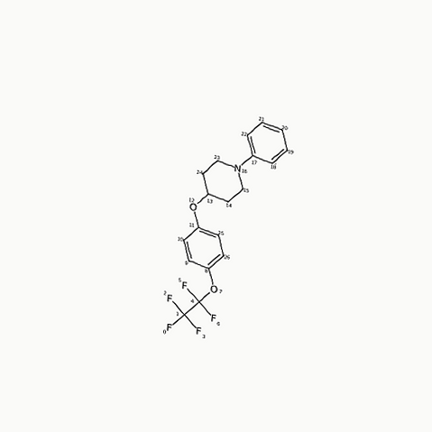 FC(F)(F)C(F)(F)Oc1ccc(OC2CCN(c3[c]cccc3)CC2)cc1